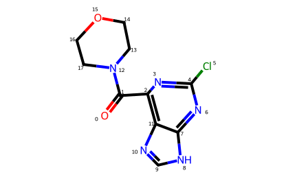 O=C(c1nc(Cl)nc2[nH]cnc12)N1CCOCC1